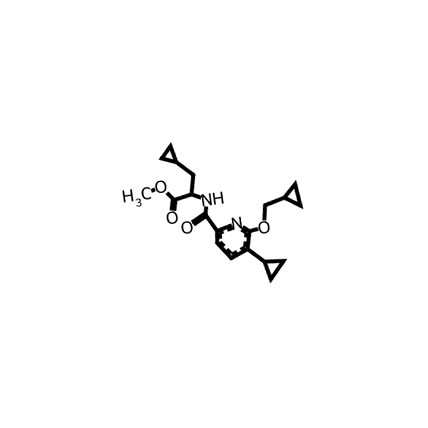 COC(=O)C(CC1CC1)NC(=O)c1ccc(C2CC2)c(OCC2CC2)n1